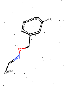 CCCCC=NOCc1cccc(CC)c1